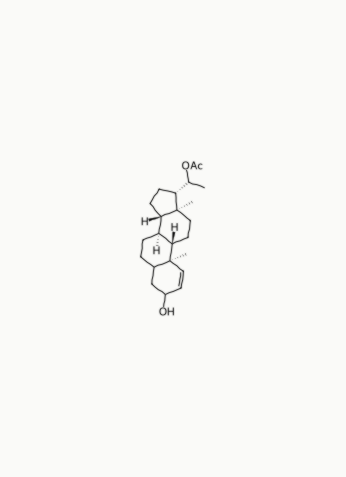 CC(=O)OC(C)[C@H]1CC[C@H]2[C@@H]3CCC4CC(O)C=C[C@]4(C)[C@H]3CC[C@]12C